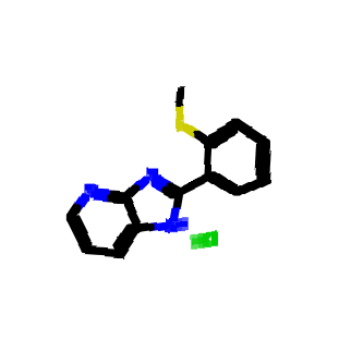 CSc1ccccc1-c1nc2ncccc2[nH]1.Cl